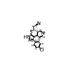 N#CCCSc1[nH]nc(-c2ccc(Cl)cc2)c1-c1ccncc1